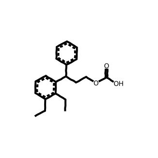 CCc1cccc(C(CCOC(=O)O)c2ccccc2)c1CC